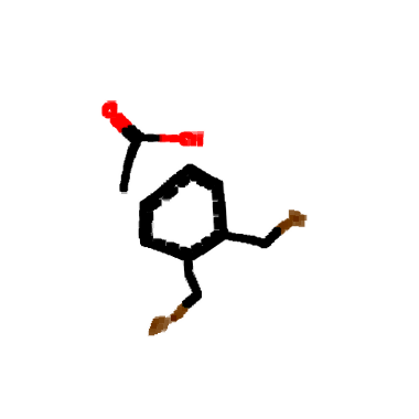 BrCc1ccccc1CBr.CC(=O)O